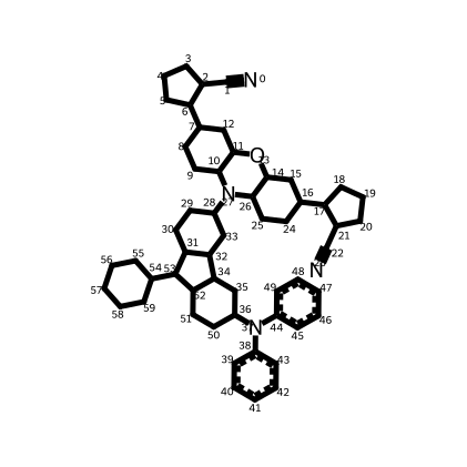 N#CC1CCCC1C1CCC2C(C1)OC1CC(C3CCCC3C#N)CCC1N2C1CCC2C(C1)C1CC(N(c3ccccc3)c3ccccc3)CCC1C2C1CCCCC1